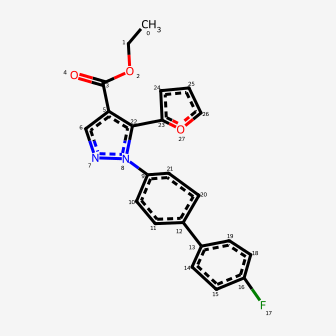 CCOC(=O)c1cnn(-c2ccc(-c3ccc(F)cc3)cc2)c1-c1ccco1